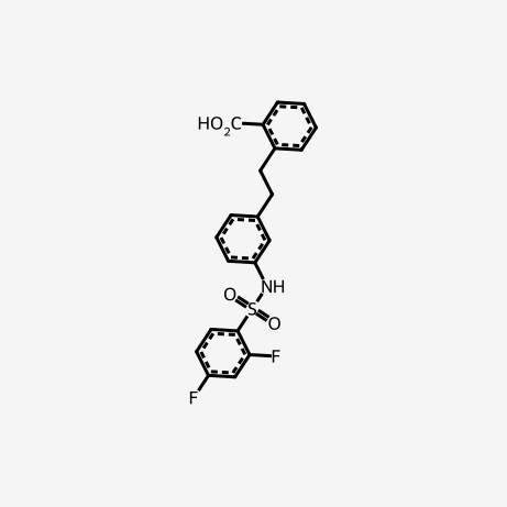 O=C(O)c1ccccc1CCc1cccc(NS(=O)(=O)c2ccc(F)cc2F)c1